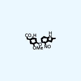 COc1cc(CC(=O)O)ccc1Oc1ccc2[nH]c(C)cc2c1N=O